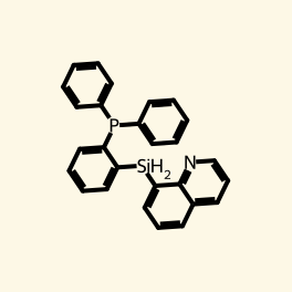 c1ccc(P(c2ccccc2)c2ccccc2[SiH2]c2cccc3cccnc23)cc1